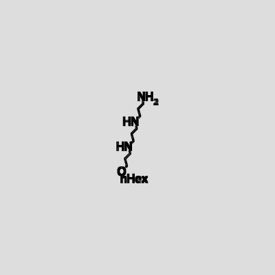 CCCCCCOCCCNCCCNCCCN